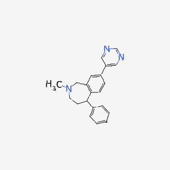 CN1CCC(c2ccccc2)c2ccc(-c3cncnc3)cc2C1